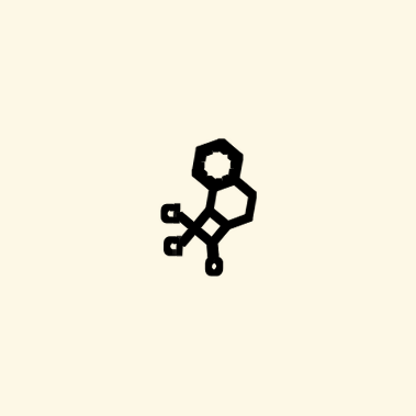 O=C1C2CCc3ccccc3C2C1(Cl)Cl